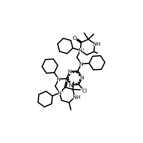 CC1C[N+](CN(c2nc(Cl)nc(N(C[N+]3(C4CCCCC4)CC(C)NC(C)(C)C3=O)C3CCCCC3)n2)C2CCCCC2)(C2CCCCC2)C(=O)C(C)(C)N1